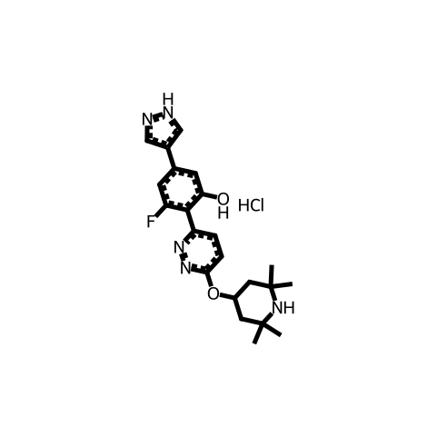 CC1(C)CC(Oc2ccc(-c3c(O)cc(-c4cn[nH]c4)cc3F)nn2)CC(C)(C)N1.Cl